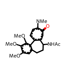 CNc1ccc2c(cc1=O)C(NC(C)=O)CCc1cc(OC)c(OC)c(OC)c1-2